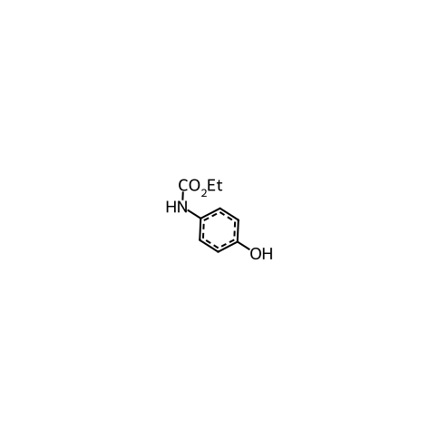 CCOC(=O)Nc1ccc(O)cc1